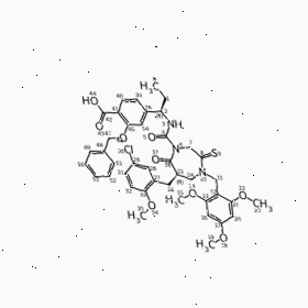 CC[C@@H](NC(=O)N1CC(=S)N(Cc2c(OC)cc(OC)cc2OC)C[C@@H](Cc2cc(Cl)ccc2OC)C1=O)c1ccc(C(=O)O)c(OCc2ccccc2)c1